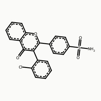 NS(=O)(=O)c1ccc(-c2oc3ccccc3c(=O)c2-c2ccccc2Cl)cc1